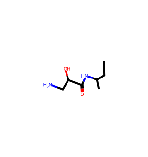 CCC(C)NC(=O)C(O)CN